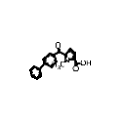 Cn1c(C(=O)O)ccc1C(=O)c1ccc(-c2ccccc2)cc1